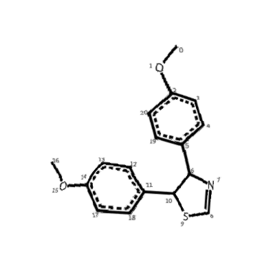 COc1ccc(C2N=CSC2c2ccc(OC)cc2)cc1